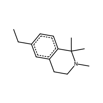 CCc1ccc2c(c1)CCN(C)C2(C)C